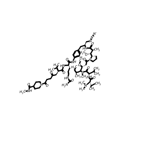 CC[C@H](C)C([C@@H](CC(=O)N1CCC[C@H]1[C@H](OC)[C@@H](C)C(=O)N[C@H](CN=[N+]=[N-])Cc1ccc(NC(=O)[C@H](CCCNC(N)=O)NC(=O)[C@@H](CC(=O)CCC(=O)N2CCC(C(=O)NC)CC2)C(C)C)cc1)OC)N(C)C(=O)[C@@H](NC(=O)[C@H](C(C)C)N(C)C)C(C)C